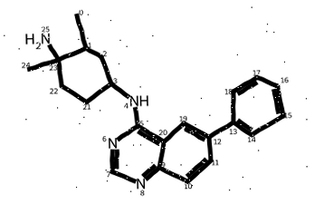 CC1CC(Nc2ncnc3ccc(-c4ccccc4)cc23)CCC1(C)N